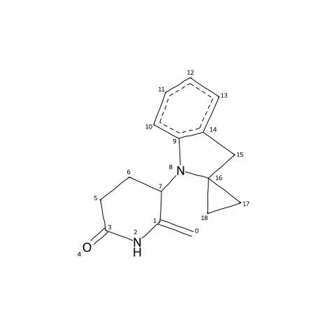 C=C1NC(=O)CCC1N1c2ccccc2CC12CC2